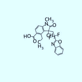 CCc1c(C(=O)O)ccc2c1C(C)(CC(F)(F)c1nc3ccccc3o1)C(=O)N2C